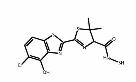 CC1(C)SC(c2nc3c(O)c(Cl)ccc3s2)=NC1C(=O)NS